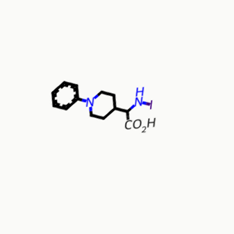 O=C(O)C(NI)C1CCN(c2ccccc2)CC1